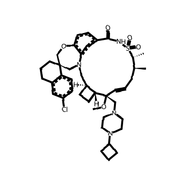 CO[C@@]1(CN2CCN(C3CCC3)CC2)/C=C/C[C@H](C)[C@@H](C)S(=O)(=O)NC(=O)c2ccc3c(c2)N(C[C@@H]2CC[C@H]21)C[C@@]1(CCCc2cc(Cl)ccc21)CO3